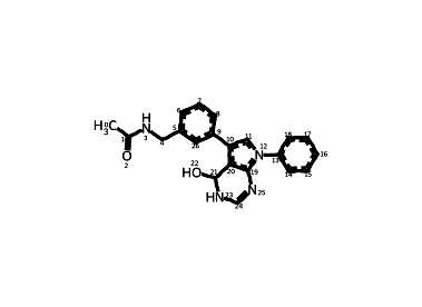 CC(=O)NCc1cccc(-c2cn(-c3ccccc3)c3c2C(O)NC=N3)c1